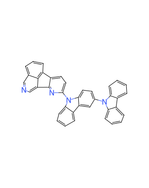 c1cc2c3c(cncc3c1)-c1nc(-n3c4ccccc4c4cc(-n5c6ccccc6c6ccccc65)ccc43)ccc1-2